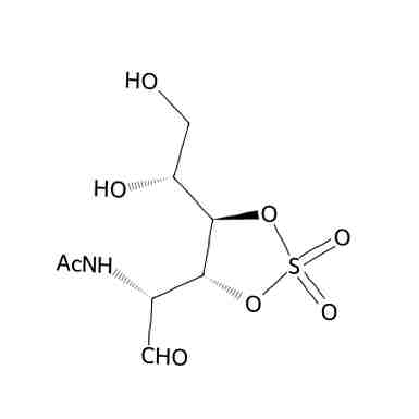 CC(=O)N[C@@H](C=O)[C@H]1OS(=O)(=O)O[C@@H]1[C@H](O)CO